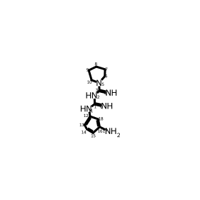 N=C(NC(=N)N1CCCCC1)Nc1cccc(N)c1